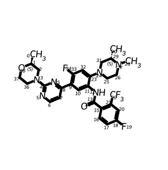 C[C@H]1CN(c2nccc(-c3cc(NC(=O)c4ccc(F)cc4C(F)(F)F)c(N4CCN(C)[C@@H](C)C4)cc3F)n2)CCO1